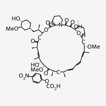 CO[C@H]1C[C@@H]2CC[C@@H](C)[C@@](O)(O2)C(=O)C(=O)N2CCCC[C@H]2C(=O)O[C@H]([C@H](C)C[C@@H]2CC[C@@H](O)[C@H](OC)C2)CC(=O)[C@H](C)/C=C(\C)[C@@H](O)[C@@H](OC)C(=O)[C@H](C)C[C@H](C)/C=C/C=C/C=C/1C.O=C(O)Oc1ccc([N+](=O)[O-])cc1